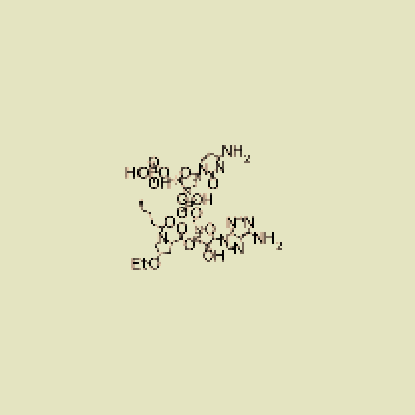 C=CCCC(=O)N1CC(OCC)CC1C(=O)O[C@@H]1[C@H](COP(=O)(O)O[C@H]2C[C@H](n3ccc(N)nc3=O)O[C@@H]2COP(=O)(O)O)OC(n2cnc3c(N)ncnc32)[C@@H]1O